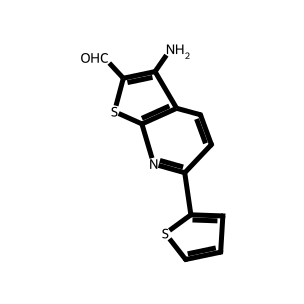 Nc1c(C=O)sc2nc(-c3cccs3)ccc12